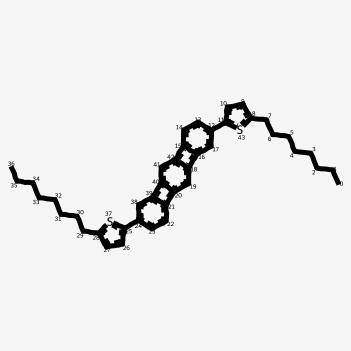 CCCCCCCCc1ccc(-c2ccc3c(c2)c2cc4c5ccc(-c6ccc(CCCCCCCC)s6)cc5c4cc32)s1